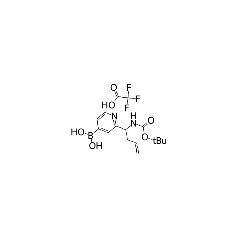 C=CCC(NC(=O)OC(C)(C)C)c1cc(B(O)O)ccn1.O=C(O)C(F)(F)F